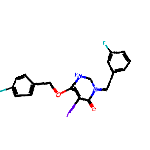 O=C1C(I)=C(OCc2ccc(F)cc2)NCN1Cc1cccc(F)c1